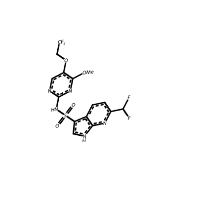 COc1nc(NS(=O)(=O)c2c[nH]c3nc(C(F)F)ccc23)ncc1OCC(F)(F)F